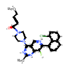 COC/C=C/C(=O)N1CCN(c2nc(OC)nc3c(F)c(-c4cccc5cccc(Cl)c45)ncc23)CC1